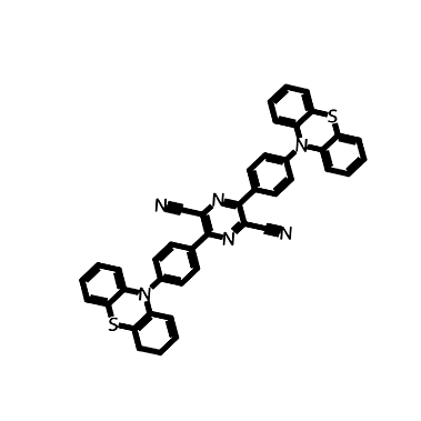 N#Cc1nc(-c2ccc(N3c4ccccc4Sc4ccccc43)cc2)c(C#N)nc1-c1ccc(N2C3=C(CCC=C3)Sc3ccccc32)cc1